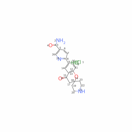 Cl.Cl.NC(=O)c1ccc(-c2ccc3c(c2)C(=O)CC2(CCNCC2)O3)nc1